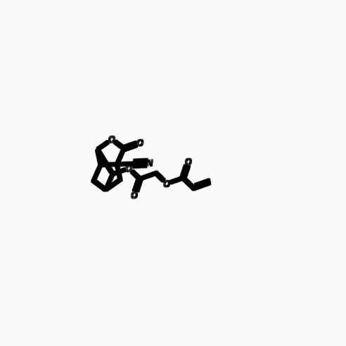 C=CC(=O)OCC(=O)OC1C2CC3C1OC(=O)C3(C#N)C2